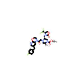 C[C@@H]1CN(CC(=O)N2CCOc3ncc(Cc4ccc(F)cc4)cc32)[C@@H](CN2C(=O)OC[C@H]2C(F)F)CN1C(=O)OC(C)(C)C